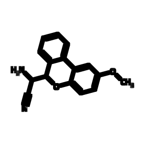 COc1ccc2c(c1)-c1ccccc1C(C(N)C#N)O2